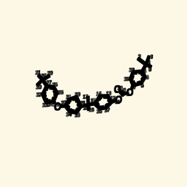 CC(C)(C)c1ccc(OC(=O)Oc2ccc(C(C)(C)c3ccc(Oc4ccc(C(C)(C)C)cc4)cc3)cc2)cc1